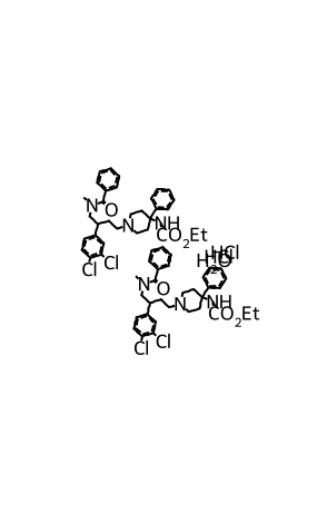 CCOC(=O)NC1(c2ccccc2)CCN(CCC(CN(C)C(=O)c2ccccc2)c2ccc(Cl)c(Cl)c2)CC1.CCOC(=O)NC1(c2ccccc2)CCN(CCC(CN(C)C(=O)c2ccccc2)c2ccc(Cl)c(Cl)c2)CC1.Cl.Cl.O